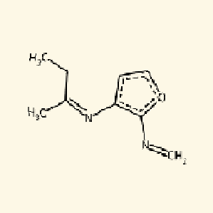 C=Nc1occc1/N=C(/C)CC